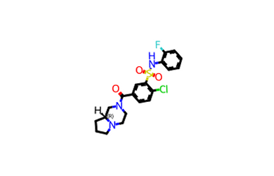 O=C(c1ccc(Cl)c(S(=O)(=O)Nc2ccccc2F)c1)N1CCN2CCC[C@@H]2C1